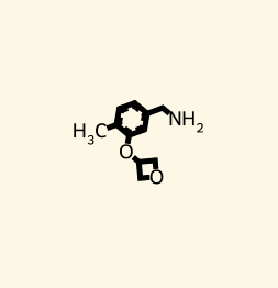 Cc1ccc(CN)cc1OC1COC1